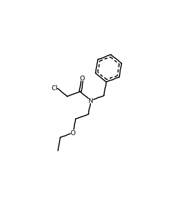 CCOCCN(Cc1ccccc1)C(=O)CCl